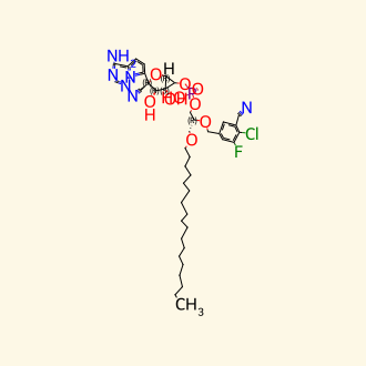 CCCCCCCCCCCCCCCCCCOC[C@H](COP(=O)(O)OC1[C@H]2O[C@@](C#N)(c3ccc4c(N)ncnn34)[C@H](O)[C@@]12O)OCc1cc(F)c(Cl)c(C#N)c1